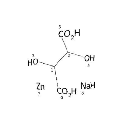 O=C(O)C(O)C(O)C(=O)O.[NaH].[Zn]